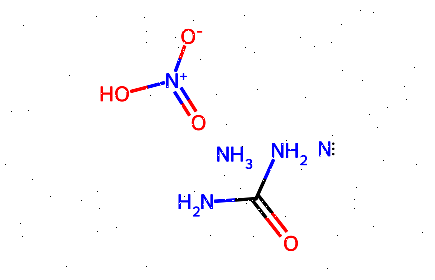 N.NC(N)=O.O=[N+]([O-])O.[N]